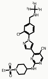 [2H]C([2H])([2H])NCc1ccc(-n2cc(-c3nc(NC4CCN(S(=O)(=O)CC)CC4)ncc3C#N)cn2)c(Cl)c1